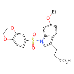 CCOc1ccc2c(CCC(=O)O)cn(S(=O)(=O)c3ccc4c(c3)OCCO4)c2c1